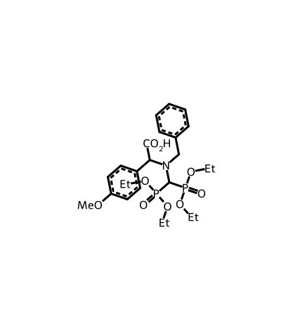 CCOP(=O)(OCC)C(N(Cc1ccccc1)C(C(=O)O)c1ccc(OC)cc1)P(=O)(OCC)OCC